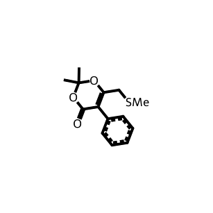 CSCC1=C(c2ccccc2)C(=O)OC(C)(C)O1